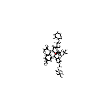 CC(C)(C)OC(=O)N1C[C@@H](N2C(=O)COc3cc(Cl)cc(-c4ccnc5cc(CO[Si](C)(C)C(C)(C)C)sc45)c32)C[C@]1(C)COC1CCCCO1